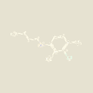 CCCCNc1ccc(C)c(O)c1C